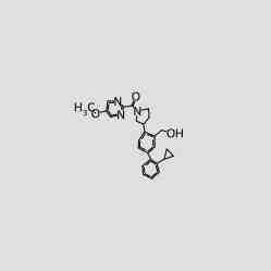 COc1cnc(C(=O)N2CCC(c3ccc(-c4ccccc4C4CC4)cc3CO)C2)nc1